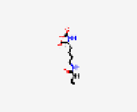 C=CBC(=O)NCCCC[C@@H]1NC(=O)OC1=O